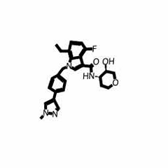 CCc1ccc(F)c2c(C(=O)N[C@H]3CCOC[C@@H]3O)cn(Cc3ccc(-c4cnn(C)c4)cc3)c12